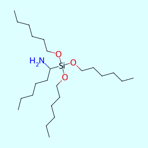 CCCCCCO[Si](OCCCCCC)(OCCCCCC)C(N)CCCCC